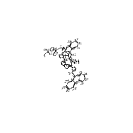 CC(C)(C)OC(=O)Cn1cc(CC(NC(=O)OCC2c3ccccc3-c3ccccc32)C(=O)O)c2ccccc21